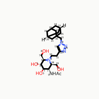 CC(=O)N[C@@H]1[C@@H](O)[C@H](O)[C@@H](CO)N(CCc2cn(CC34CC5C[C@H](C3)C[C@H](C5)C4)nn2)[C@H]1CO